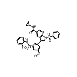 CCOC(=O)c1cccnc1NCc1cc(OC(C)C)cc(-c2cn(S(=O)(=O)c3ccccc3)c3ncc(C(=O)NC4CC4)cc23)c1